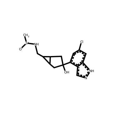 C[S+]([O-])NCC1C2CC(O)(c3cc(Cl)cc4[nH]ncc34)CC12